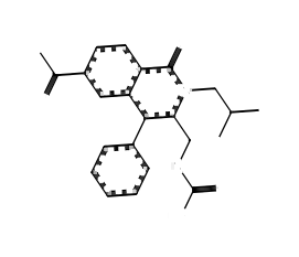 CC(=O)c1ccc2c(=O)n(CC(C)C)c(CNC(=O)O)c(-c3ccccc3)c2c1